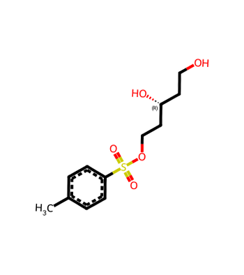 Cc1ccc(S(=O)(=O)OCC[C@H](O)CCO)cc1